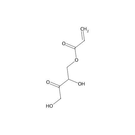 C=CC(=O)OCC(O)C(=O)CO